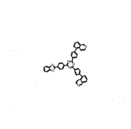 c1cc(-c2ccc(-c3nc(-c4ccc(-c5nc6ccccc6o5)cc4)nc(-c4ccc(-c5cccc6cnccc56)cc4)n3)cc2)c2ccncc2c1